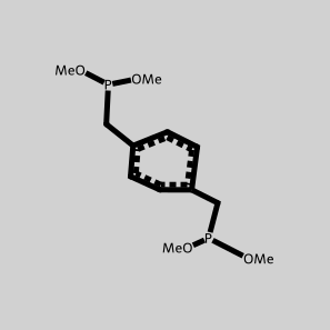 COP(Cc1ccc(CP(OC)OC)cc1)OC